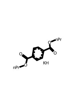 CCCOC(=O)c1ccc(C(=O)OCCC)cc1.[KH]